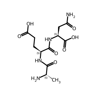 C[C@H](N)C(=O)N[C@@H](CCC(=O)O)C(=O)N[C@@H](CC(N)=O)C(=O)O